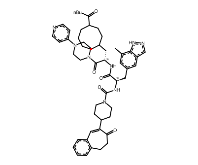 CCCCC(=O)C1CCCCC(C[C@H](NC(=O)[C@@H](Cc2cc(C)c3[nH]ncc3c2)NC(=O)N2CCC(C3=Cc4ccccc4CCC3=O)CC2)C(=O)N2CCN(c3ccncc3)CC2)CC1